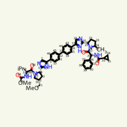 COC[C@H]1C[C@@H](c2ncc(-c3ccc(-c4ccc(-c5cnc([C@@H]6CCC(C)N6C(=O)[C@H](NC(=O)C6CC6)c6ccccc6)[nH]5)cc4)cc3)[nH]2)N(C(=O)[C@@H](NC(=O)OC)C(C)C)C1